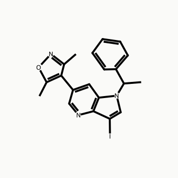 Cc1noc(C)c1-c1cnc2c(I)cn(C(C)c3ccccc3)c2c1